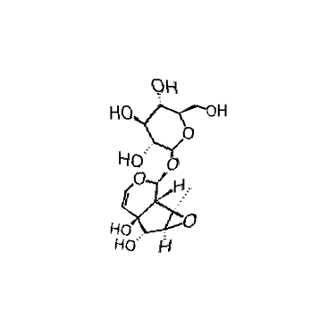 C[C@]12O[C@H]1[C@H](O)[C@]1(O)C=CO[C@@H](O[C@@H]3O[C@H](CO)[C@@H](O)[C@H](O)[C@H]3O)[C@@H]12